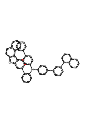 c1ccc(-c2ccc(N(c3ccc(-c4cccc(-c5cccc6ccccc56)c4)cc3)c3ccccc3-c3ccc4c(c3)oc3ccc5ccccc5c34)cc2)cc1